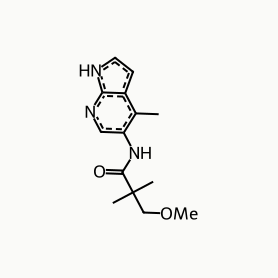 COCC(C)(C)C(=O)Nc1cnc2[nH]ccc2c1C